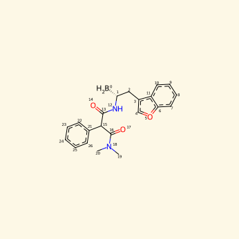 B[C@H](Cc1coc2ccccc12)NC(=O)C(C(=O)N(C)C)c1ccccc1